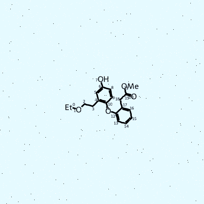 CCOCCc1cc(O)ccc1Oc1ccccc1CC(=O)OC